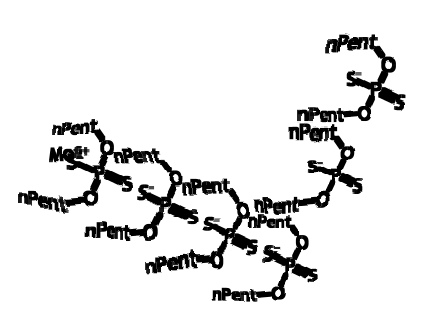 CCCCCOP(=S)([S-])OCCCCC.CCCCCOP(=S)([S-])OCCCCC.CCCCCOP(=S)([S-])OCCCCC.CCCCCOP(=S)([S-])OCCCCC.CCCCCOP(=S)([S-])OCCCCC.CCCCCOP(=S)([S-])OCCCCC.[Mo+6]